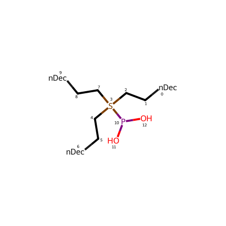 CCCCCCCCCCCCS(CCCCCCCCCCCC)(CCCCCCCCCCCC)P(O)O